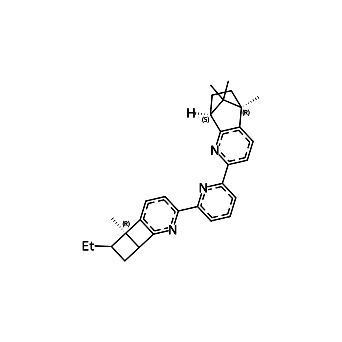 CCC1CC2c3nc(-c4cccc(-c5ccc6c(n5)[C@H]5CC[C@]6(C)C5(C)C)n4)ccc3[C@]12C